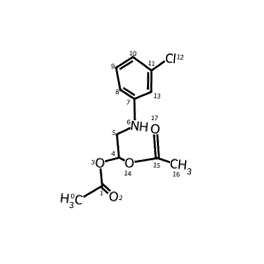 CC(=O)OC(CNc1cccc(Cl)c1)OC(C)=O